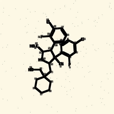 N#CC1(c2ccc(Cl)cc2F)C(CC2(CO)CCCCC2)NC(C(=O)O)C1c1cccc(Cl)c1F